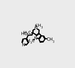 Cc1ccc2c(c1)c1c(n2C)C(C)(CC(O)c2ccncc2)CN(C)C1